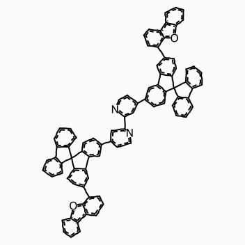 c1ccc2c(c1)-c1ccccc1C21c2ccc(-c3ccnc(-c4cc(-c5ccc6c(c5)-c5cc(-c7cccc8c7oc7ccccc78)ccc5C65c6ccccc6-c6ccccc65)ccn4)c3)cc2-c2cc(-c3cccc4c3oc3ccccc34)ccc21